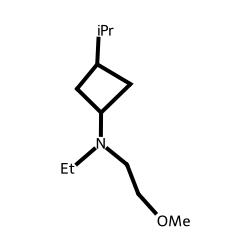 CCN(CCOC)C1CC(C(C)C)C1